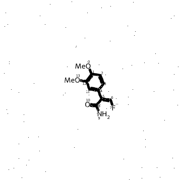 COc1ccc(/C(=C/F)C(N)=O)cc1OC